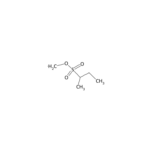 [CH2]OS(=O)(=O)C(C)CC